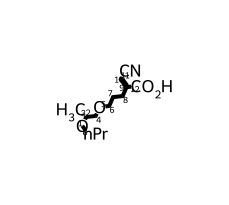 CCCOC(C)COCCCC(=CC#N)C(=O)O